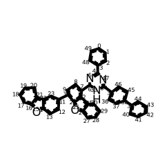 c1ccc(C2=NC(c3ccc(-c4ccc5oc6ccccc6c5c4)c4oc5ccccc5c34)NC(c3ccc(-c4ccccc4)cc3)=N2)cc1